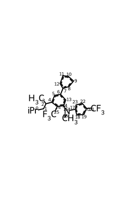 CC(C)CC(C)c1cc(-c2ccccc2)cc(N(C)c2ccc(C(F)(F)F)cc2)c1C(F)(F)F